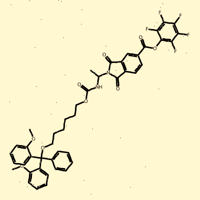 COc1ccccc1C(OCCCCCCOC(=O)NC(C)N1C(=O)c2ccc(C(=O)Oc3c(F)c(F)c(F)c(F)c3F)cc2C1=O)(c1ccccc1)c1ccccc1OC